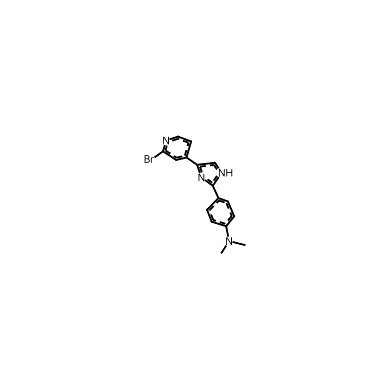 CN(C)c1ccc(-c2nc(-c3ccnc(Br)c3)c[nH]2)cc1